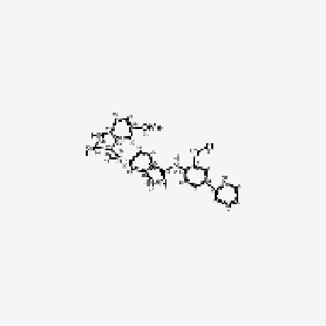 CCOc1cc(-c2cnccn2)ccc1Nc1n[nH]c2cc([C@@H]3C[C@@]34C(=O)Nc3ccc(OC)cc34)ccc12